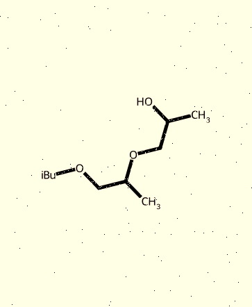 CCC(C)OCC(C)OCC(C)O